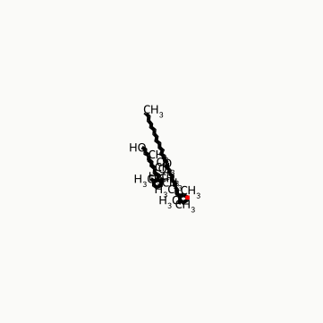 CC1=C(/C=C/C(C)=C/C=C/C(C)=C/CO)C(C)(C)CCC1.CCCCCCCCCCCCCCCC(=O)OC(=O)/C=C(C)/C=C/C=C(C)/C=C/C1=C(C)CCCC1(C)C